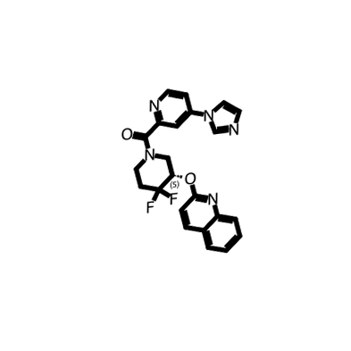 O=C(c1cc(-n2ccnc2)ccn1)N1CCC(F)(F)[C@@H](Oc2ccc3ccccc3n2)C1